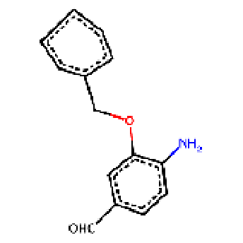 Nc1ccc(C=O)cc1OCc1ccccc1